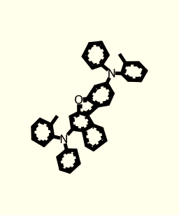 Cc1ccccc1N(c1ccccc1)c1ccc2c(c1)oc1cc(N(c3ccccc3)c3ccccc3C)c3ccccc3c12